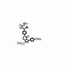 CCOC(=O)C1=NN(c2ccc(OC)cc2)C2C(=O)N(c3ccc(C(NC(=O)OC(C)(C)C)C4CC4)cc3)CCC12